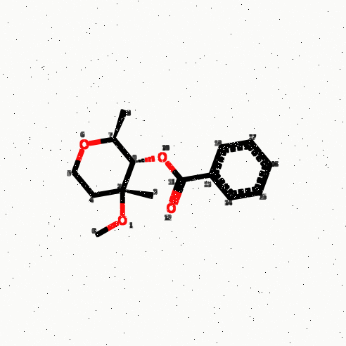 CO[C@]1(C)CCO[C@@H](C)[C@@H]1OC(=O)c1ccccc1